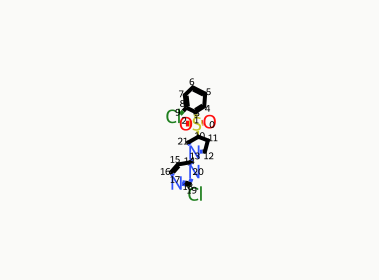 O=S(=O)(c1ccccc1Cl)[C@H]1CCN(c2ccnc(Cl)n2)C1